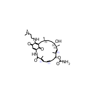 C/C1=C\C=C/C[C@@H](OC(N)=O)/C(C)=C/[C@H](C)[C@@H](O)CC[C@H](C)CC2=C(NCCN(C)C)C(=O)C=C(NC1=O)C2=O